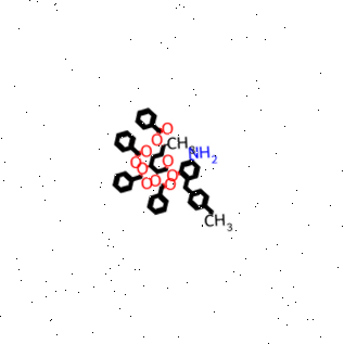 CCc1ccc(Cc2ccc(N)cc2O[C@@H]2O[C@H]([C@@H](C)OC(=O)c3ccccc3)[C@@H](OC(=O)c3ccccc3)[C@H](OC(=O)c3ccccc3)[C@H]2OC(=O)c2ccccc2)cc1